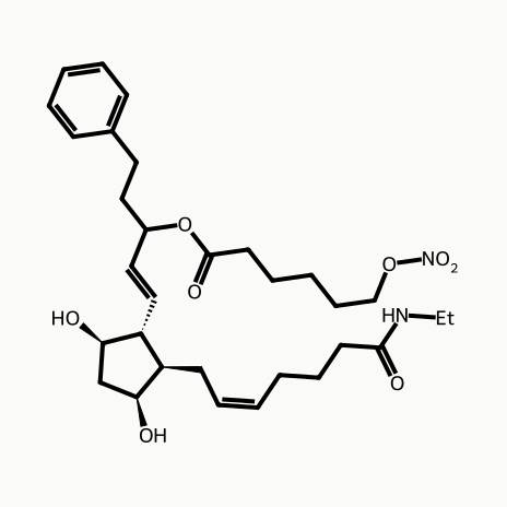 CCNC(=O)CCC/C=C\C[C@@H]1[C@@H](C=CC(CCc2ccccc2)OC(=O)CCCCCO[N+](=O)[O-])[C@H](O)C[C@@H]1O